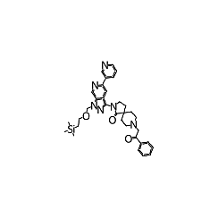 C[Si](C)(C)CCOCn1nc(N2CCC3(CCN(CC(=O)c4ccccc4)CC3)C2=O)c2cc(-c3cccnc3)ncc21